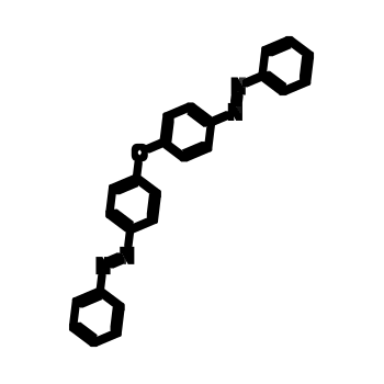 c1ccc(/N=N/c2ccc(Oc3ccc(/N=N/c4ccccc4)cc3)cc2)cc1